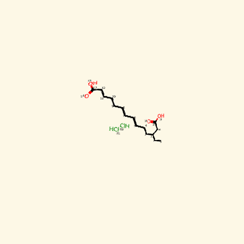 CCC(CCCCCCCCCCC(=O)O)CC(=O)O.Cl.Cl